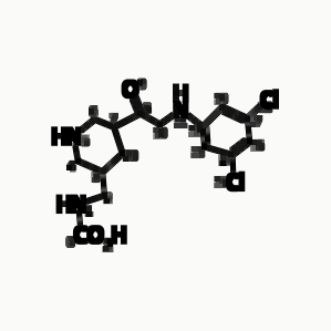 O=C(O)NCC1CNCC(C(=O)CNc2cc(Cl)cc(Cl)c2)C1